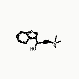 C[Si](C)(C)C#CC(O)c1csc2ccccc12